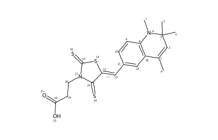 CC1=CC(C)(C)N(C)c2ccc(/C=C3\SC(=S)N(CCC(=O)O)C3=S)cc21